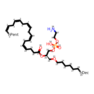 CCCCC/C=C\C/C=C\C/C=C\C/C=C\C/C=C\CCC(=O)O[C@H](COCCCCCCCCCCCCCCCC)COP(=O)(O)OCCN